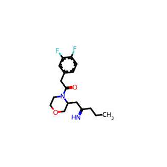 CCCC(=N)CC1COCCN1C(=O)Cc1ccc(F)c(F)c1